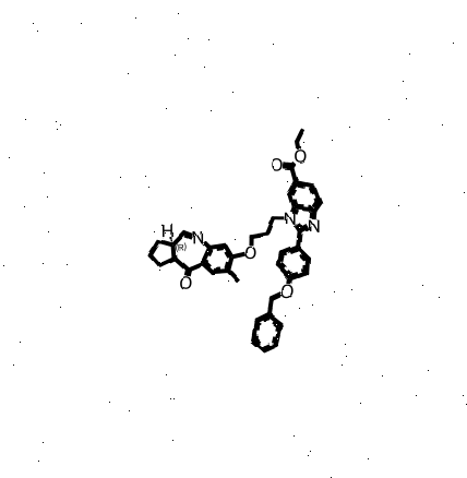 CCOC(=O)c1ccc2nc(-c3ccc(OCc4ccccc4)cc3)n(CCCOc3cc4c(cc3C)C(=O)C3CCC[C@H]3C=N4)c2c1